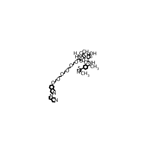 Cc1ncsc1-c1ccc([C@H](C)NC(=O)[C@@H]2C[C@@H](O)CN2C(=O)[C@@H](NC(=O)COCCOCCOCCOCCOCCOc2ccc3cc(-n4ccc5ccncc54)ncc3c2)C(C)(C)C)cc1